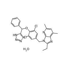 CCc1nc2c(C)cc(C)nc2n1Cc1cc(Cl)c(OC(c2ccccc2)c2nnn[nH]2)c(Cl)c1.O